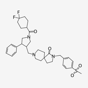 CS(=O)(=O)c1ccc(CN2CCC3(CCN(CC4CN(C(=O)C5CCC(F)(F)CC5)CC4c4ccccc4)CC3)C2=O)cc1